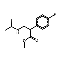 COC(=O)C(CNC(C)C)c1ccc(F)cc1